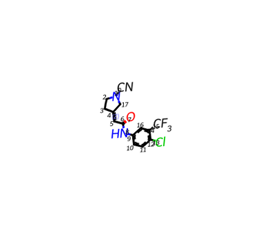 N#CN1CC/C(=C/C(=O)Nc2ccc(Cl)c(C(F)(F)F)c2)C1